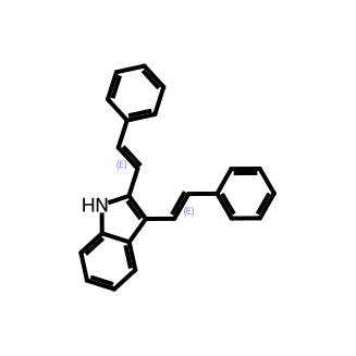 C(=C\c1[nH]c2ccccc2c1/C=C/c1ccccc1)/c1ccccc1